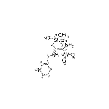 C[Si](C)(C)CC(NCc1cccnc1)=C(N)[N+](=O)[O-]